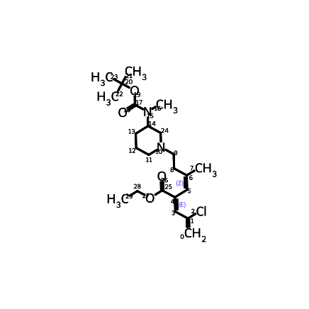 C=C(Cl)/C=C(\C=C(\C)CCN1CCCC(N(C)C(=O)OC(C)(C)C)C1)C(=O)OCC